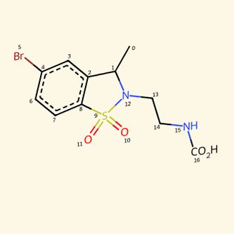 CC1c2cc(Br)ccc2S(=O)(=O)N1CCNC(=O)O